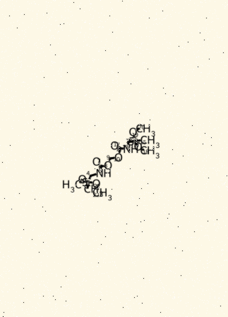 CO[Si](C)(CNC(=O)OCOC(=O)NC[Si](C)(OC)OC)OC